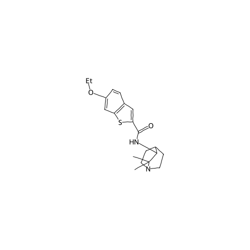 CCOc1ccc2cc(C(=O)NC3C4CCN(CC4)C3(C)C)sc2c1